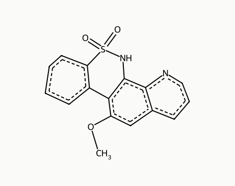 COc1cc2cccnc2c2c1-c1ccccc1S(=O)(=O)N2